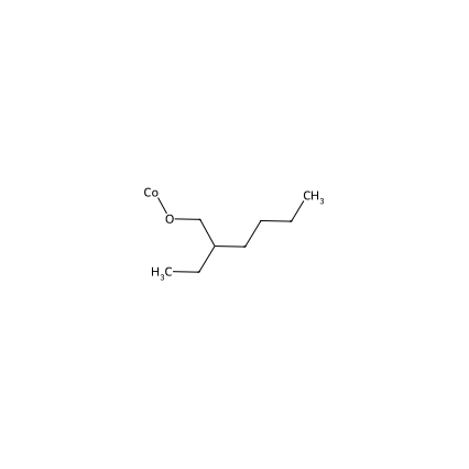 CCCCC(CC)C[O][Co]